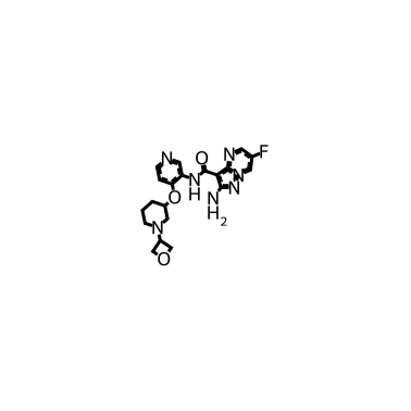 Nc1nn2cc(F)cnc2c1C(=O)Nc1cnccc1OC1CCCN(C2COC2)C1